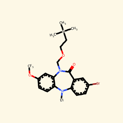 CCN1c2ccc(Br)cc2C(=O)N(COCC[Si](C)(C)C)c2cc(OC(F)(F)F)ccc21